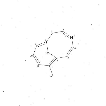 CC1=C2/C=C\N=C/CC(=CC=C1)C2